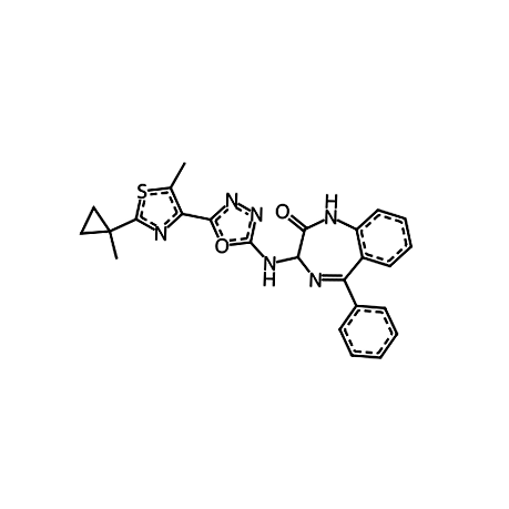 Cc1sc(C2(C)CC2)nc1-c1nnc(NC2N=C(c3ccccc3)c3ccccc3NC2=O)o1